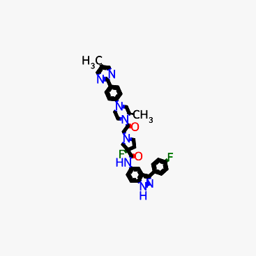 Cc1cnc(-c2ccc(N3CCN(C(=O)CN4CCC(F)(C(=O)Nc5ccc6[nH]nc(-c7ccc(F)cc7)c6c5)C4)[C@H](C)C3)cc2)nc1